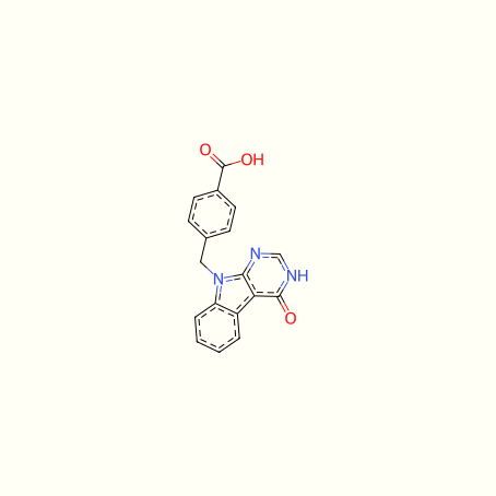 O=C(O)c1ccc(Cn2c3ccccc3c3c(=O)[nH]cnc32)cc1